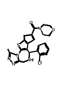 Cc1nnc2n1-c1sc3c(c1C(c1ccccc1Cl)NC2)CC(C(=O)N1CCOCC1)C3